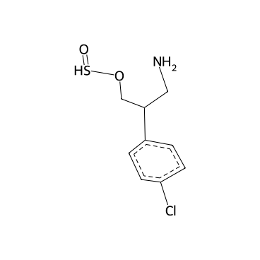 NCC(CO[SH]=O)c1ccc(Cl)cc1